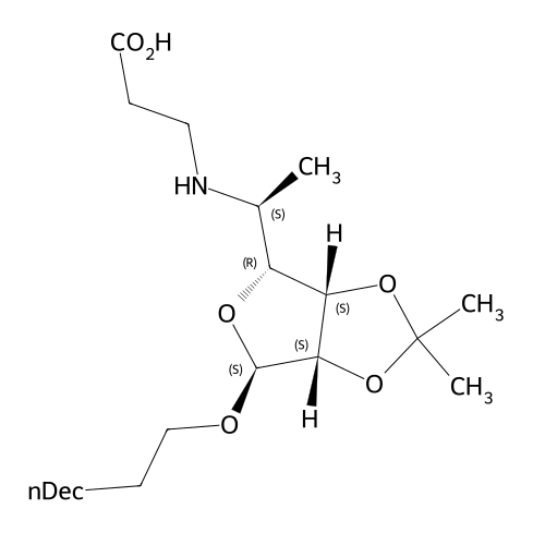 CCCCCCCCCCCCO[C@H]1O[C@H]([C@H](C)NCCC(=O)O)[C@@H]2OC(C)(C)O[C@H]12